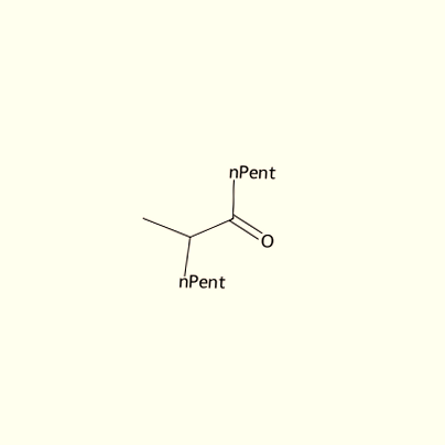 CCCCCC(=O)C(C)CCCCC